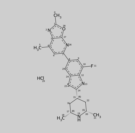 Cc1nc2c(C)cc(-c3cc(F)c4nc([C@H]5C[C@@H](C)N[C@@H](C)C5)sc4c3)nc2o1.Cl